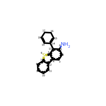 Nc1ccc2c(sc3ccccc32)c1C1=CCCC=C1